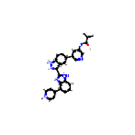 CC(C)C(=O)Nc1cncc(-c2ccc3[nH]nc(-c4nc5c(-c6ccncc6)cccc5[nH]4)c3c2)c1